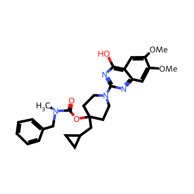 COc1cc2nc(N3CCC(CC4CC4)(OC(=O)N(C)Cc4ccccc4)CC3)nc(O)c2cc1OC